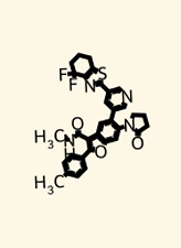 CNC(=O)c1c(-c2ccc(C)cc2)oc2cc(N3CCCC3=O)c(-c3cncc(-c4nc5c(s4)CCCC5(F)F)c3)cc12